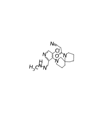 CN/N=C\c1cncc(Cl)c1N1CCCC2(CCCCN2C(=O)CC#N)C1